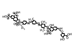 Cc1cc(N=Nc2cc(C)c(N=Nc3c(S(=O)(=O)O)cc4cc(NCOc5ccc(O)c(C(=O)O)c5)ccc4c3O)cc2C)ccc1N=Nc1ccc(N=Nc2cc3c(S(=O)(=O)O)cc(S(=O)(=O)O)cc3cc2S(=O)(=O)O)c(C)c1